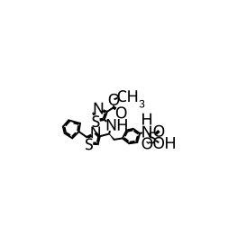 COC(=O)c1ncsc1N[C@@H](Cc1ccc(NS(=O)(=O)O)cc1)c1csc(-c2ccccc2)n1